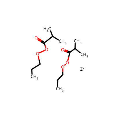 CCCOOC(=O)C(C)C.CCCOOC(=O)C(C)C.[Zr]